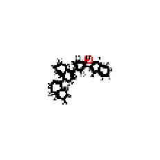 c1ccc2cc3c(cc2c1)oc1ccc(-c2ccc(-c4cccc5ccccc45)c4ccccc24)cc13